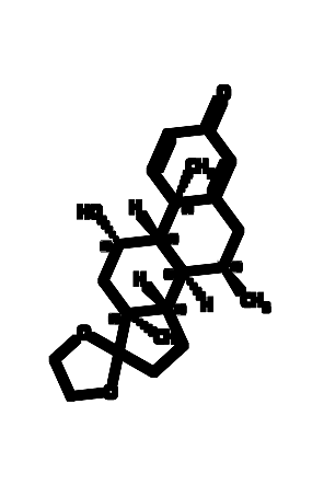 C[C@@H]1CC2=CC(=O)C=C[C@]2(C)[C@@H]2[C@@H]1[C@@H]1CCC3(OCCO3)[C@@]1(C)C[C@@H]2O